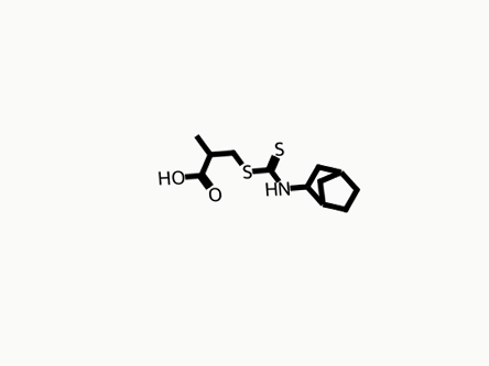 CC(CSC(=S)NC1CC2CCC1C2)C(=O)O